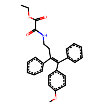 CCOC(=O)C(=O)NCC/C(=C(\c1ccccc1)c1ccc(OC)cc1)c1ccccc1